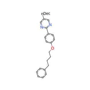 CCCCCCCCCCc1cnc(-c2ccc(OCCCCc3ccccc3)cc2)nc1